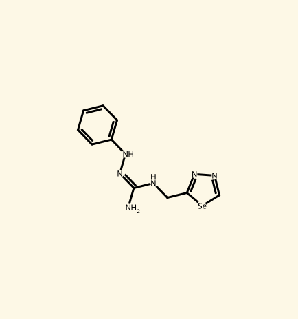 NC(=NNc1ccccc1)NCc1nnc[se]1